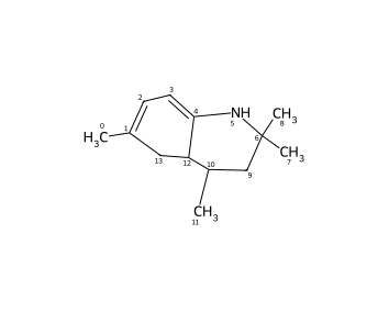 CC1=CC=C2NC(C)(C)CC(C)C2C1